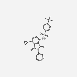 CC(C)(C)c1ccc(S(=O)(=O)Nc2ccc(C3CC3)c3c2C(=O)N(c2cccnc2)C3=O)cc1